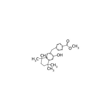 COC(=O)c1ccc(Cc2cc3c(cc2O)C(C)(C)CCC3(C)C)cc1